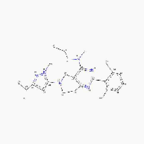 CCCN(C)c1nc(-c2c(C)cccc2C)nc2c1CN(c1cc(C(C)C)nn1C)CC2